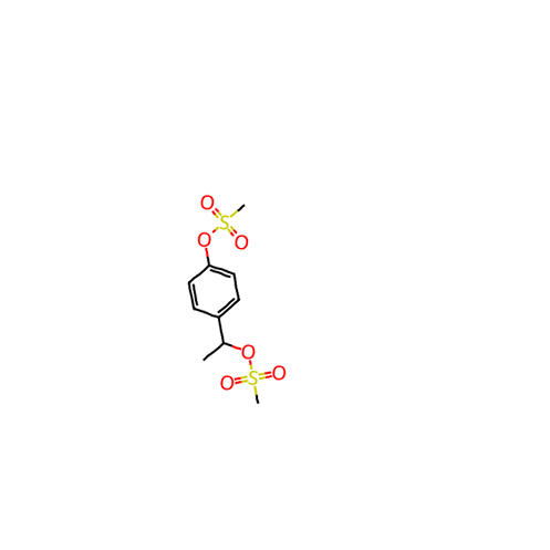 CC(OS(C)(=O)=O)c1ccc(OS(C)(=O)=O)cc1